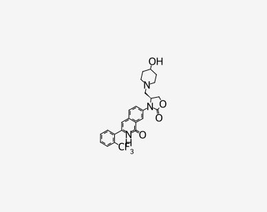 O=C1OC[C@H](CN2CCC(O)CC2)N1c1ccc2cc(-c3ccccc3C(F)(F)F)[nH]c(=O)c2c1